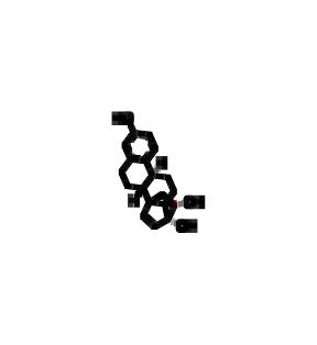 C[C@]12CC[C@@H]3c4ccc(O)cc4CC[C@H]3[C@@]13C=C[C@]2(O)[C@@H](O)C3